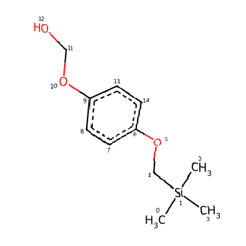 C[Si](C)(C)COc1ccc(OCO)cc1